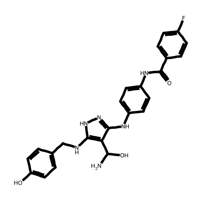 NC(O)c1c(Nc2ccc(NC(=O)c3ccc(F)cc3)cc2)n[nH]c1NCc1ccc(O)cc1